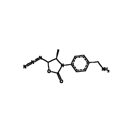 C[C@@H]1C(N=[N+]=[N-])OC(=O)N1c1ccc(CN)cc1